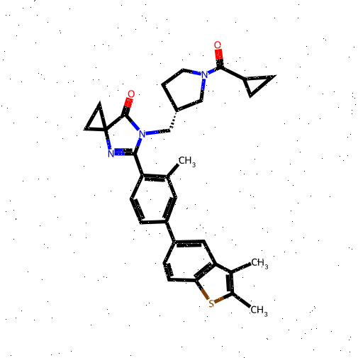 Cc1cc(-c2ccc3sc(C)c(C)c3c2)ccc1C1=NC2(CC2)C(=O)N1C[C@@H]1CCN(C(=O)C2CC2)C1